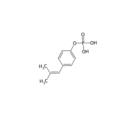 CC(C)=Cc1ccc(OP(=O)(O)O)cc1